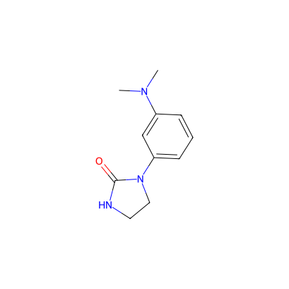 CN(C)c1cccc(N2CCNC2=O)c1